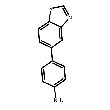 Nc1ccc(-c2ccc3scnc3c2)cc1